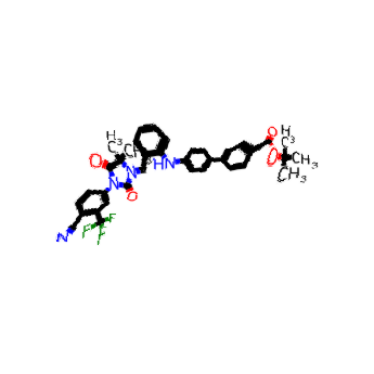 CC(C)(C)OC(=O)c1ccc(-c2ccc(Nc3ccccc3CN3C(=O)N(c4ccc(C#N)c(C(F)(F)F)c4)C(=O)C3(C)C)cc2)cc1